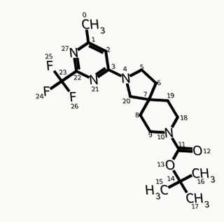 Cc1cc(N2CCC3(CCN(C(=O)OC(C)(C)C)CC3)C2)nc(C(F)(F)F)n1